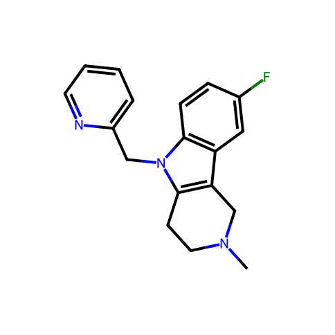 CN1CCc2c(c3cc(F)ccc3n2Cc2ccccn2)C1